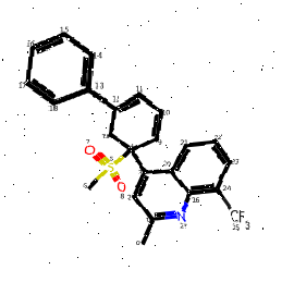 Cc1cc(C2(S(C)(=O)=O)C=CC=C(c3ccccc3)C2)c2cccc(C(F)(F)F)c2n1